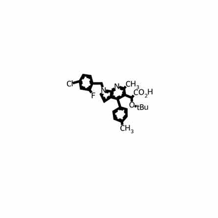 Cc1ccc(-c2c(C(OC(C)(C)C)C(=O)O)c(C)nc3c2ccn3Cc2ccc(Cl)cc2F)cc1